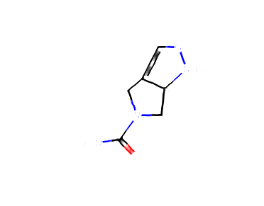 NC(=O)N1CC2=CNNC2C1